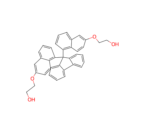 OCCOc1ccc2c(C3(c4cccc5cc(OCCO)ccc45)c4ccccc4-c4ccccc43)cccc2c1